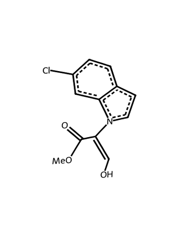 COC(=O)C(=CO)n1ccc2ccc(Cl)cc21